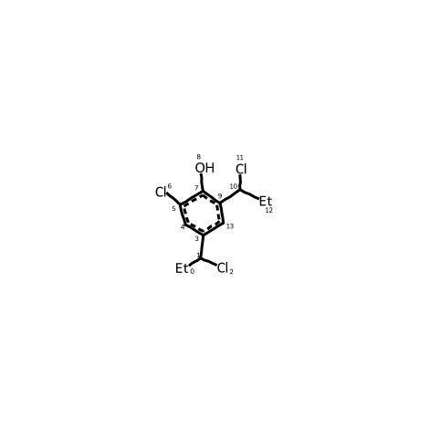 CCC(Cl)c1cc(Cl)c(O)c(C(Cl)CC)c1